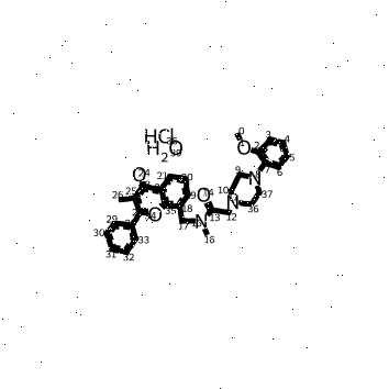 COc1ccccc1N1CCN(CC(=O)N(C)Cc2cccc3c(=O)c(C)c(-c4ccccc4)oc23)CC1.Cl.O